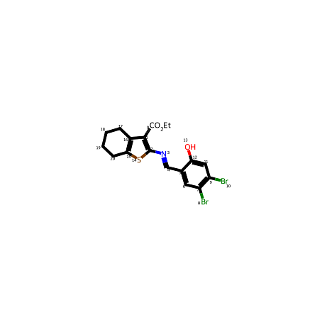 CCOC(=O)c1c(N=Cc2cc(Br)c(Br)cc2O)sc2c1CCCC2